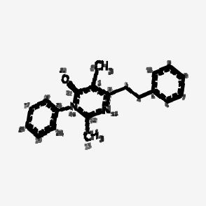 Cc1c(CCc2ccccc2)nc(C)n(-c2ccccc2)c1=O